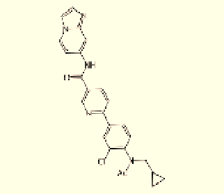 CC(=O)N(CC1CC1)c1ccc(-c2ccc(C(=O)Nc3ccn4ccnc4c3)cn2)cc1Cl